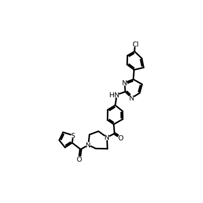 O=C(c1ccc(Nc2nccc(-c3ccc(Cl)cc3)n2)cc1)N1CCN(C(=O)c2cccs2)CC1